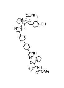 COC(=O)N[C@@H](C)C(=O)N1CCC[C@H]1c1ncc(-c2ccc(-c3ccc(-c4cnc([C@@H]5CCCN5C(=O)[C@](C)(Cc5ccc(O)cc5)OC(N)=O)[nH]4)cc3)cc2)[nH]1